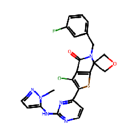 Cn1nccc1Nc1nccc(-c2sc3c(c2Cl)C(=O)N(Cc2cccc(F)c2)C32COC2)n1